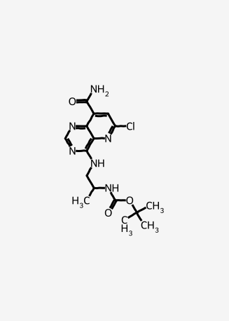 CC(CNc1ncnc2c(C(N)=O)cc(Cl)nc12)NC(=O)OC(C)(C)C